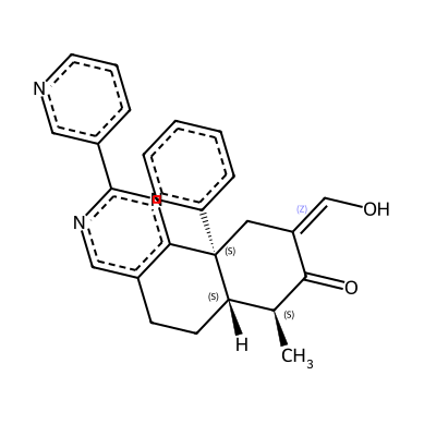 C[C@@H]1C(=O)/C(=C\O)C[C@]2(c3ccccc3)c3nc(-c4cccnc4)ncc3CC[C@@H]12